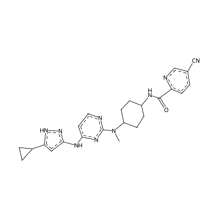 CN(c1nccc(Nc2cc(C3CC3)[nH]n2)n1)C1CCC(NC(=O)c2ccc(C#N)cn2)CC1